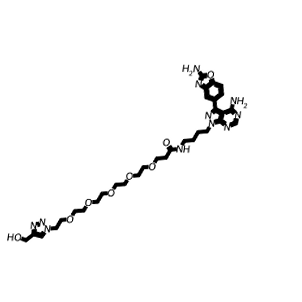 Nc1nc2cc(-c3nn(CCCCNC(=O)CCOCCOCCOCCOCCOCCn4cc(CO)nn4)c4ncnc(N)c34)ccc2o1